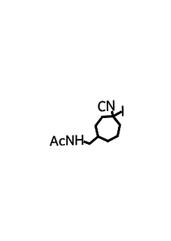 CC(=O)NCC1CCCC(I)(C#N)CC1